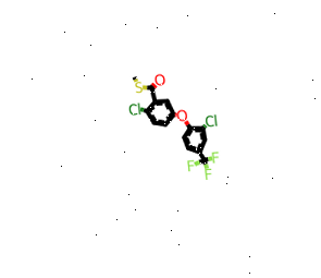 CSC(=O)c1cc(Oc2ccc(C(F)(F)F)cc2Cl)ccc1Cl